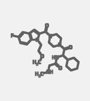 CNCC(=O)NC(C(=O)N1CCN(C(=O)c2cc3cc(F)ccc3n2CCOC)CC1)C1CCCCC1